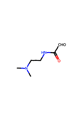 CN(C)CCNC(=O)C=O